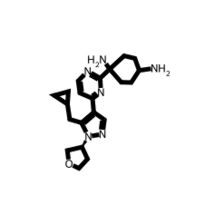 NC1CCC(N)(c2nccc(-c3cnn([C@H]4CCOC4)c3CC3CC3)n2)CC1